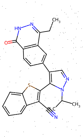 CCc1n[nH]c(=O)c2ccc(-c3cnn(C(C)C)c3-c3sc4ccccc4c3C#N)cc12